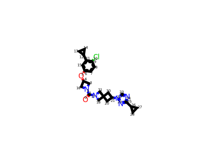 O=C(N1CC(Oc2ccc(Cl)c(C3CC3)c2)C1)N1CC2(CC(n3cnc(C4CC4)n3)C2)C1